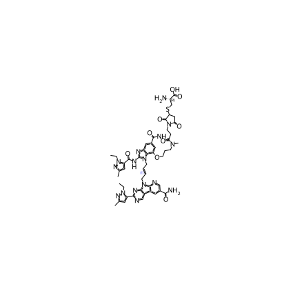 CCn1nc(C)cc1C(=O)Nc1nc2cc(C(N)=O)cc(OCCCN(C)C(=O)CCN3C(=O)CC(SC[C@H](N)C(=O)O)C3=O)c2n1C/C=C/Cn1c2ncc(C(N)=O)cc2c2cnc(-c3cc(C)nn3CC)nc21